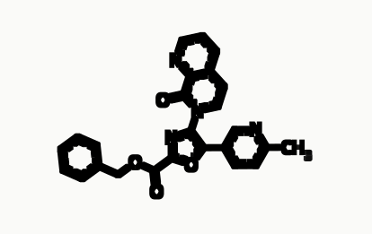 Cc1ccc(-c2oc(C(=O)OCc3ccccc3)nc2-n2ccc3cccnc3c2=O)cn1